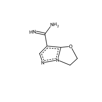 N=C(N)c1cnn2c1OCC2